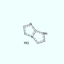 Cl.c1cn2cc[nH]c2n1